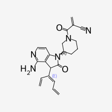 C=C/C=C(\C=C)C1C(=O)N([C@@H]2CCCN(C(=O)C(=C)C#N)C2)c2ccnc(N)c21